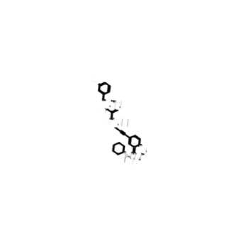 CN(c1ncnc2ccc(C#CCNC(=O)c3cncn(Cc4ccc(F)c(F)c4)c3=O)cc12)C1CCCCC1